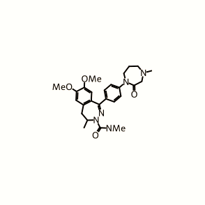 CNC(=O)N1N=C(c2ccc(N3CCCN(C)CC3=O)cc2)c2cc(OC)c(OC)cc2CC1C